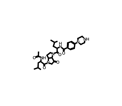 CC(=O)NC(CC(C)C)C(=O)N1CC(=O)C2C1CCN2C(=O)C(CC(C)C)NC(=O)c1ccc(N2CCNCC2)cc1